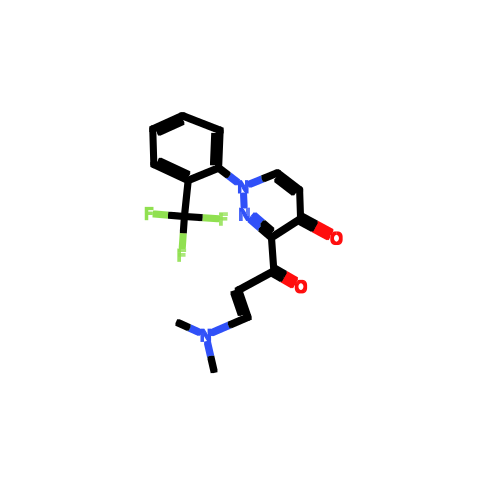 CN(C)/C=C/C(=O)c1nn(-c2ccccc2C(F)(F)F)ccc1=O